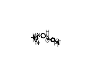 Cc1nc(N[C@H]2CC[C@@H](NC(=O)c3ccc(OC(F)(F)F)cc3)CC2)cc(N(C)C)n1